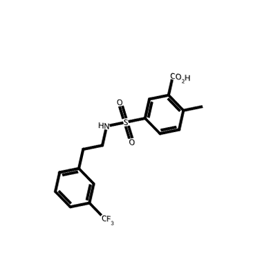 Cc1ccc(S(=O)(=O)NCCc2cccc(C(F)(F)F)c2)cc1C(=O)O